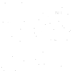 COc1ccc(-c2c(-c3ccccc3F)oc3nc[nH]c(=O)c23)cc1